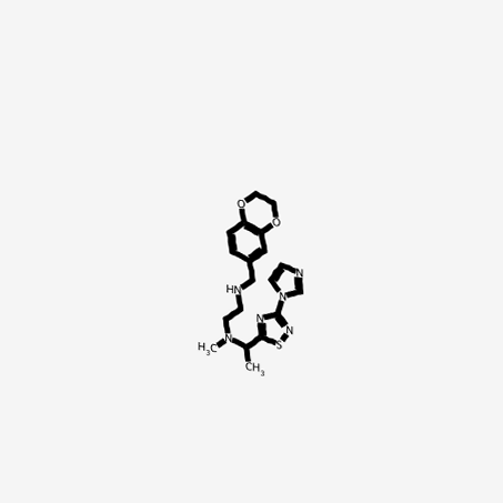 CC(c1nc(-n2ccnc2)ns1)N(C)CCNCc1ccc2c(c1)OCCO2